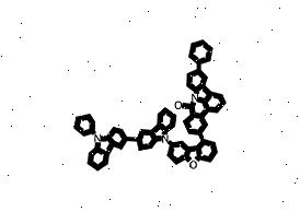 O=c1c2ccc(-c3cccc4oc5ccc(-n6c7ccccc7c7cc(-c8ccc9c(c8)c8ccccc8n9-c8ccccc8)ccc76)cc5c34)cc2c2cccc3c4cc(-c5ccccc5)ccc4n1c23